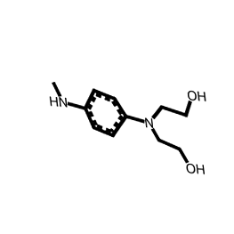 CNc1ccc(N(CCO)CCO)cc1